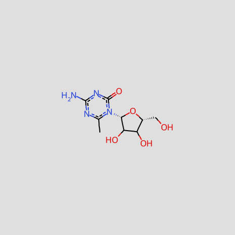 Cc1nc(N)nc(=O)n1[C@@H]1O[C@H](CO)C(O)C1O